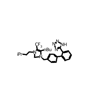 CCCCC1=C(C(F)(F)F)N(CCC(C)C)CN1Cc1ccc(-c2ccccc2-c2nnn[nH]2)cc1